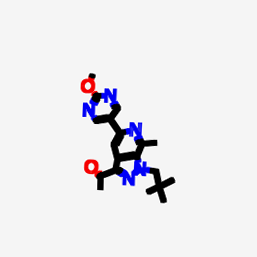 COc1ncc(-c2cc3c(C(C)=O)nn(CC(C)(C)C)c3c(C)n2)cn1